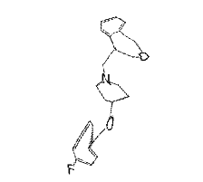 Fc1ccc(OC2CCN(CC3COCc4ccccc43)CC2)cc1